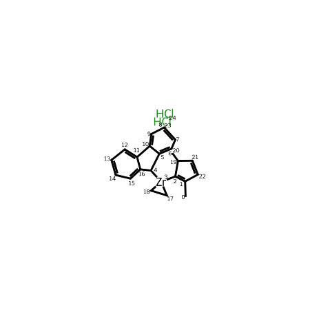 CC1=[C]([Zr]2([CH]3c4ccccc4-c4ccccc43)[CH2][CH2]2)C(C)C=C1.Cl.Cl